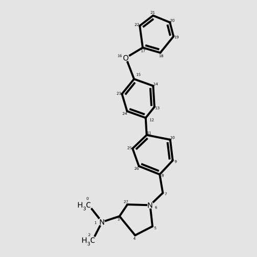 CN(C)C1CCN(Cc2ccc(-c3ccc(Oc4ccccc4)cc3)cc2)C1